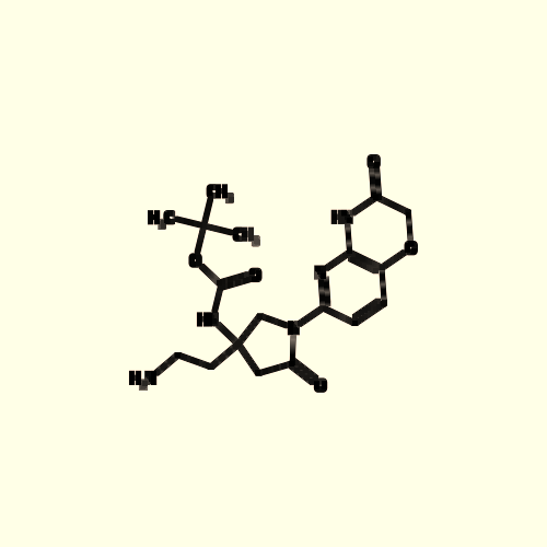 CC(C)(C)OC(=O)NC1(CCN)CC(=O)N(c2ccc3c(n2)NC(=O)CO3)C1